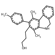 Cc1ccc(-c2c(C)c3c(c(C)c2CCCO)NCc2ccccc2-3)cc1